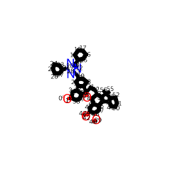 COc1ccc(C2(c3ccc(-c4nc(-c5ccccc5)nc(-c5ccccc5)n4)cc3)C=Cc3c4c(c5cc(OC)c(OC)cc5c3O2)-c2ccccc2C4(C)C)cc1